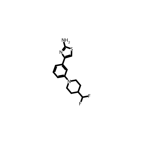 Nc1nc(-c2cccc(N3CCC(C(F)F)CC3)c2)cs1